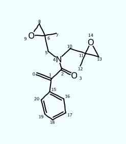 C=C(C(=O)N(CC1(C)CO1)CC1(C)CO1)c1ccccc1